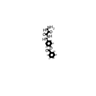 NNC(=O)C(=O)NNc1ccc(OC(=O)c2ccccc2)cc1